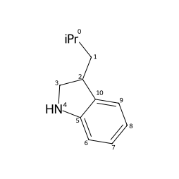 CC(C)CC1CNc2ccccc21